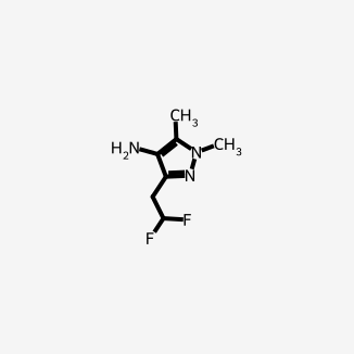 Cc1c(N)c(CC(F)F)nn1C